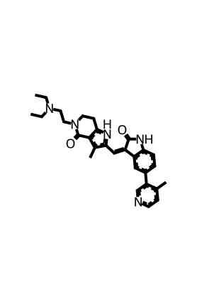 CCN(CC)CCN1CCc2[nH]c(C=C3C(=O)Nc4ccc(-c5cnccc5C)cc43)c(C)c2C1=O